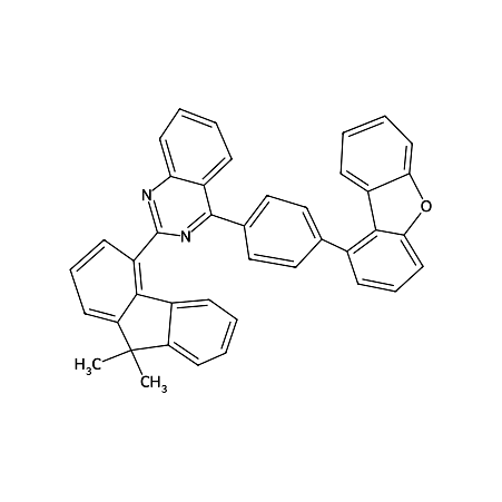 CC1(C)c2ccccc2-c2c(-c3nc(-c4ccc(-c5cccc6oc7ccccc7c56)cc4)c4ccccc4n3)cccc21